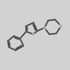 c1ccc(-c2ccc(N3CCOCC3)s2)cc1